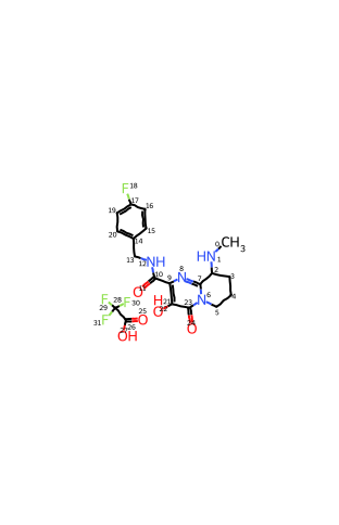 CNC1CCCn2c1nc(C(=O)NCc1ccc(F)cc1)c(O)c2=O.O=C(O)C(F)(F)F